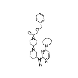 O=C(COCc1ccccc1)N1CCC(N2CCCC(Nc3nccc(N4CCCCCC4)n3)C2)CC1